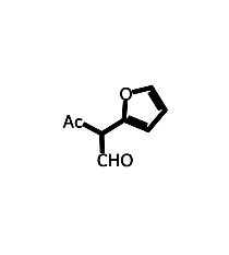 CC(=O)C(C=O)c1ccco1